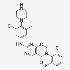 Cc1cc(Nc2ncc3c(n2)OCN(c2c(F)cccc2Cl)C3=O)cc(Cl)c1N1CCNCC1